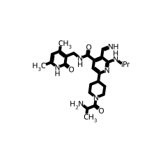 Cc1cc(C)c(CNC(=O)c2cc(C3CCN(C(=O)C(C)N)CC3)nc(NC(C)C)c2C=N)c(=O)[nH]1